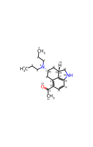 CCCN(CCC)[C@H]1Cc2c(C(C)=O)ccc3c2[C@@H](CN3)C1